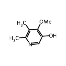 COc1c(O)cnc(C)c1C